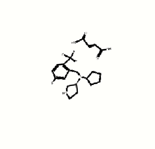 Fc1ccc(C(F)(F)F)c(CN(C2CCCC2)[C@H]2CCNC2)c1.O=C(O)C=CC(=O)O